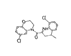 CC(CC(=N)C(=O)N1CCOc2ccc(Cl)cc21)c1cccc(Cl)c1